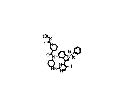 CC(C)(C)OC(=O)N1CCCC(C(=O)NC2CCC[C@@H](Nc3ncc(Cl)c(-c4cn(S(=O)(=O)c5ccccc5)c5ccccc45)n3)C2)C1